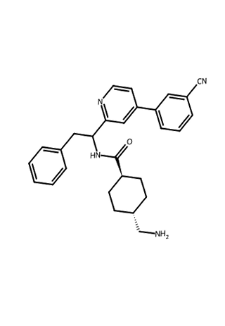 N#Cc1cccc(-c2ccnc(C(Cc3ccccc3)NC(=O)[C@H]3CC[C@H](CN)CC3)c2)c1